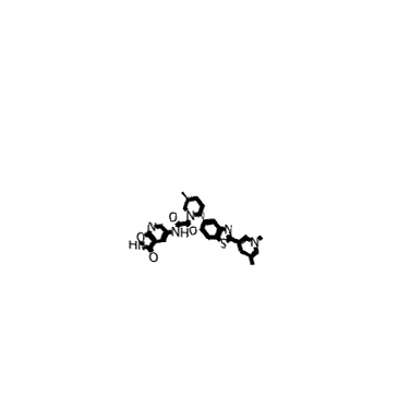 CC1CC(c2nc3cc([C@H]4CC[C@H](C)CN4C(=O)C(=O)Nc4cnc5o[nH]c(=O)c5c4)ccc3s2)CN(C)C1